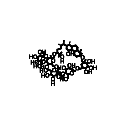 CC(C1CC(O)[C@]2(C)C3CCC(OCC4(C)CC(COC[C@]5(C)OC(CO)[C@@H](O)C(O)C5O)[C@@H](O)C(O)C4O)C(C)(C)C3=CCC2[C@H]1C)[C@H](C)CCC(OCC1(C)OC(COCC2(C)OC(CO)[C@H](O)C(O)C2O)[C@H](O)C(O)C1OC1(C)OC(CO)[C@H](O)C(O)C1O)C(C)(C)O